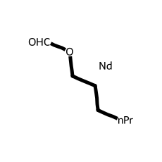 CCCCCCOC=O.[Nd]